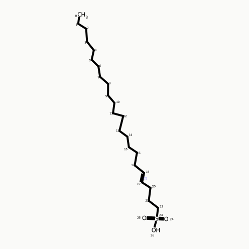 CCCCCCCCCCCCCCCCCC/C=C/CCCS(=O)(=O)O